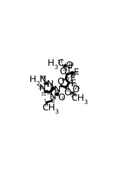 CCCn1c(=O)n([C@@H]2O[C@H]([C@@H](OC(C)=O)C(F)(F)F)[C@H](F)[C@H]2OC(C)=O)c2nc(N)ncc21